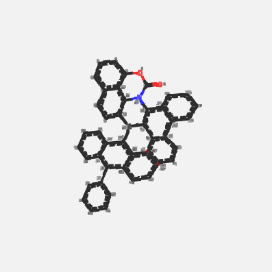 O=C1Oc2cccc3ccc4c(c23)N1c1c(c2ccccc2c2ccccc12)B4c1c2ccccc2c(-c2ccccc2)c2ccccc12